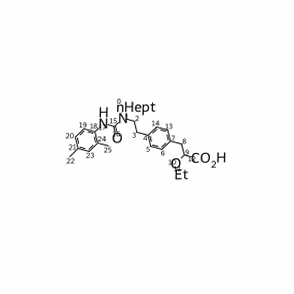 CCCCCCCN(CCc1ccc(CC(OCC)C(=O)O)cc1)C(=O)Nc1ccc(C)cc1C